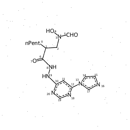 CCCCCC(CN(O)C=O)C(=O)NNc1cc(-n2ccnc2)ncn1